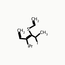 C=CS/C(=C(\C=C)C(C)C)C(C)I